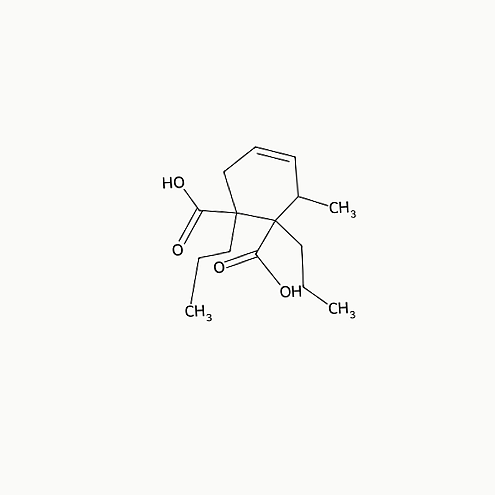 CCCC1(C(=O)O)CC=CC(C)C1(CCC)C(=O)O